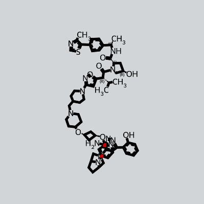 Cc1ncsc1-c1ccc([C@H](C)NC(=O)[C@@H]2C[C@@H](O)CN2C(=O)[C@@H](c2cc(N3CCC(CN4CCC(O[C@H]5C[C@H](Oc6cc(N7C8CCC7CN(c7cc(-c9ccccc9O)nnc7N)C8)ccn6)C5)CC4)CC3)no2)C(C)C)cc1